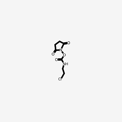 O=C(NCCCl)ON1C(=O)CCC1=O